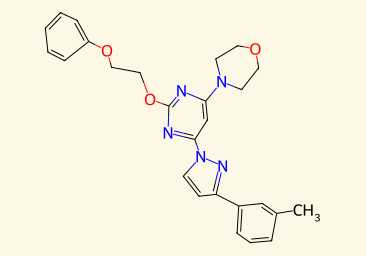 Cc1cccc(-c2ccn(-c3cc(N4CCOCC4)nc(OCCOc4ccccc4)n3)n2)c1